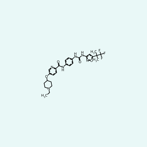 CCN1CCC(Oc2ccc(C(=O)Nc3ccc(NC(=O)Nc4cc(C(C)(C)C(F)(F)F)on4)cc3)nc2)CC1